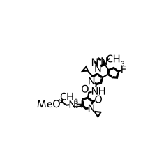 CO[C@@H](C)CNCc1cc(C(=O)Nc2cc(-c3ccc(F)cc3-c3nncn3C)cc(C3CC3)n2)c(=O)n(C2CC2)c1